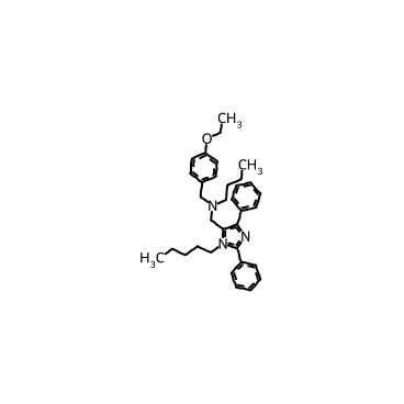 CCCCCn1c(-c2ccccc2)nc(-c2ccccc2)c1CN(CCCC)Cc1ccc(OCC)cc1